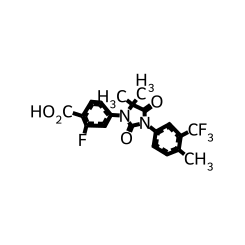 Cc1ccc(N2C(=O)N(c3ccc(C(=O)O)c(F)c3)C(C)(C)C2=O)cc1C(F)(F)F